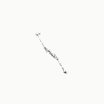 C=C(C)C(=O)OCCCCCCCCCCCCCOc1ccc(C(=O)Oc2ccc(OC(=O)c3ccc(OCCCCCCCCCCCCCOC(=O)C(=C)C)cc3F)cc2)c(F)c1